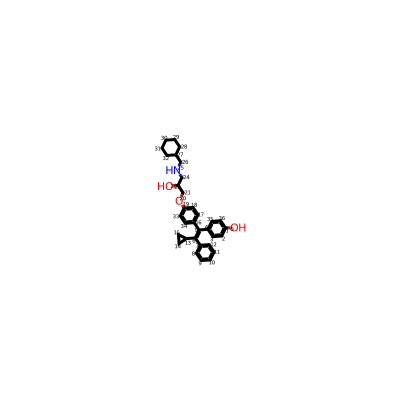 Oc1ccc(C(=C(c2ccccc2)C2CC2)c2ccc(OCC(O)CNCC3CCCCC3)cc2)cc1